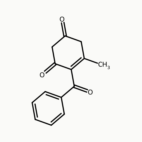 CC1=C(C(=O)c2ccccc2)C(=O)CC(=O)C1